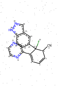 N#CC1C=CC=C(c2cnccn2)C1(F)c1ccc2[nH]ncc2c1